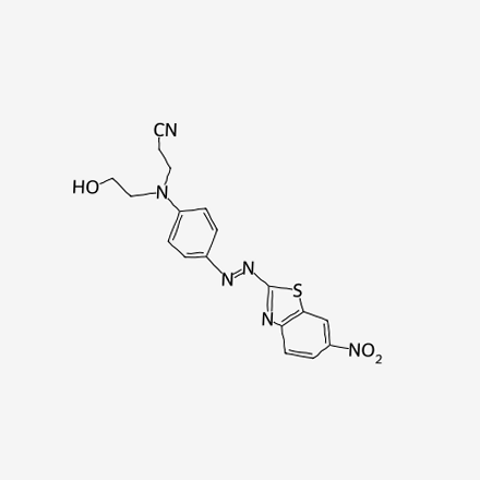 N#CCCN(CCO)c1ccc(/N=N/c2nc3ccc([N+](=O)[O-])cc3s2)cc1